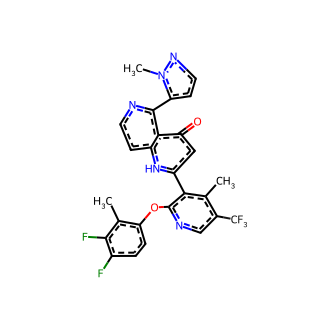 Cc1c(Oc2ncc(C(F)(F)F)c(C)c2-c2cc(=O)c3c(-c4ccnn4C)nccc3[nH]2)ccc(F)c1F